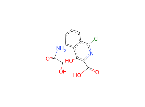 NC(=O)CO.O=C(O)c1nc(Cl)c2ccccc2c1O